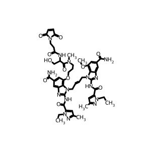 CCn1nc(C)cc1C(=O)Nc1nc2cc(C(N)=O)cc(OC)c2n1CC=CCn1c(NC(=O)c2cc(C)nn2CC)nc2cc(C(N)=O)cc(OCCCN(C)C(=O)C(CO)NC(=O)CCN3C(=O)C=CC3=O)c21